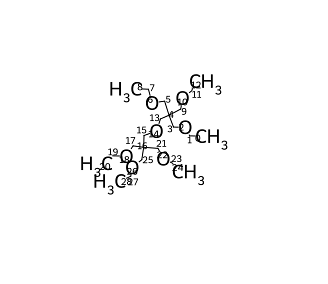 CCOCC(COCC)(COCC)COCC(COCC)(COCC)COCC